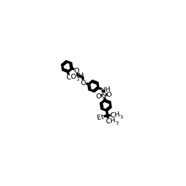 CCC(C)(C)c1ccc(S(=O)(=O)Nc2ccc(OCCOc3ccccc3C(=O)O)cc2)cc1